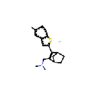 Cc1ccc2sc(C3=C(CN(C)C)C4CCC3C4)cc2c1.Cl